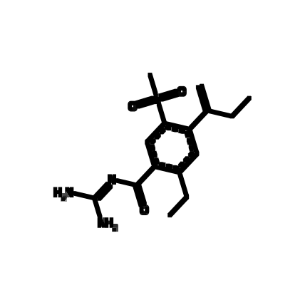 C=C(CC)c1cc(CC)c(C(=O)N=C(N)N)cc1S(C)(=O)=O